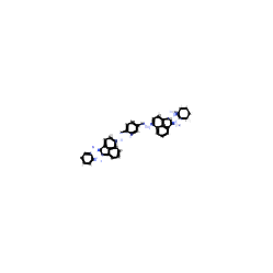 c1ccc2nc3c(nc2c1)-c1cccc2c(NCc4ccc(CNc5ccc6c7c(cccc57)-c5nc7c(nc5-6)CCCC7)cc4)ccc-3c12